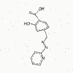 O=C(O)c1ccc(CN=Nc2ccccn2)cc1O